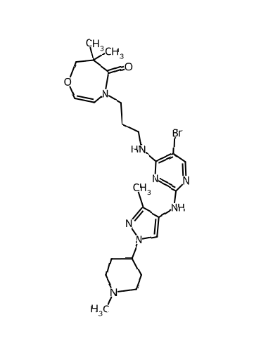 Cc1nn(C2CCN(C)CC2)cc1Nc1ncc(Br)c(NCCCN2C=COCC(C)(C)C2=O)n1